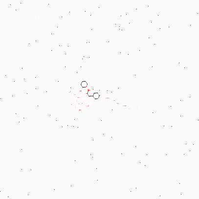 CCCCCCCCCCOc1ccc2c(O[C@H]3O[C@H](COC(C)=O)[C@@H](OC(C)=O)[C@H](OC(C)=O)[C@@H]3OC(C)=O)c(OC(=O)c3ccccc3)c(=O)oc2c1